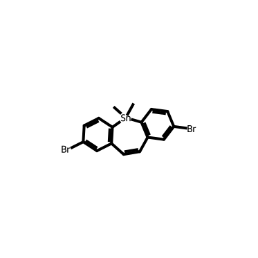 [CH3][Sn]1([CH3])[c]2ccc(Br)cc2C=Cc2cc(Br)cc[c]21